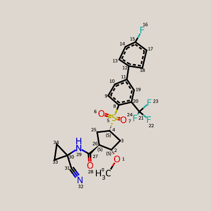 CO[C@H]1C[C@@H](S(=O)(=O)c2ccc(-c3ccc(F)cc3)cc2C(F)(F)F)C[C@@H]1C(=O)NC1(C#N)CC1